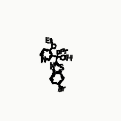 CCCC(O)(c1nc2ccc(Br)cc2s1)c1cnccc1OCC